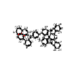 c1ccc(-c2ccccc2N(c2ccc(-c3cccc4c3-c3ccccc3C43c4ccc5ccccc5c4Oc4c3ccc3ccccc43)cc2)c2ccc3ccccc3c2)cc1